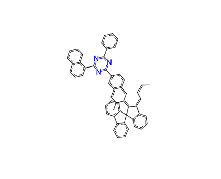 C\C=C/C=C1\C(=C2/C=c3ccc(-c4nc(-c5ccccc5)nc(-c5cccc6ccccc56)n4)cc3=CC2C)C2(c3ccccc31)c1ccccc1-c1ccccc12